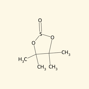 CC1(C)OS(=O)OC1(C)C